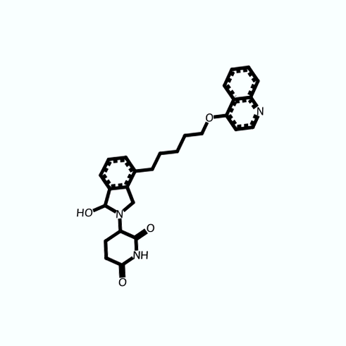 O=C1CCC(N2Cc3c(CCCCCOc4ccnc5ccccc45)cccc3C2O)C(=O)N1